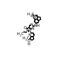 C=CCn1c(=O)c2cnc(Nc3cc4c5c(c3)CN(C)CC5(C)CC4)nc2n1-c1ccc2c(n1)C(C)(O)CC2